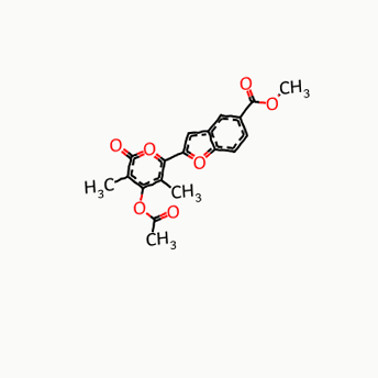 COC(=O)c1ccc2oc(-c3oc(=O)c(C)c(OC(C)=O)c3C)cc2c1